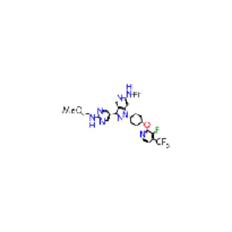 CCNc1cc2c(cn1)c(-c1cnc(NCCOC)nc1)nn2[C@H]1CC[C@@H](Oc2nccc(C(F)(F)F)c2F)CC1